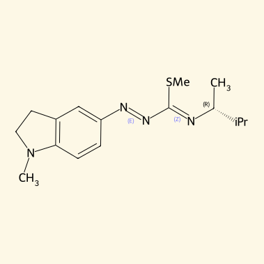 CSC(=N\[C@H](C)C(C)C)/N=N/c1ccc2c(c1)CCN2C